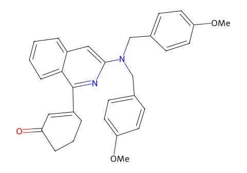 COc1ccc(CN(Cc2ccc(OC)cc2)c2cc3ccccc3c(C3=CC(=O)CCC3)n2)cc1